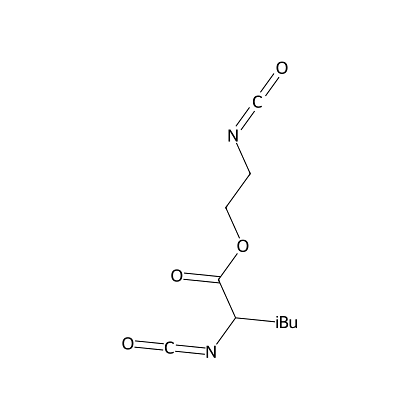 CCC(C)C(N=C=O)C(=O)OCCN=C=O